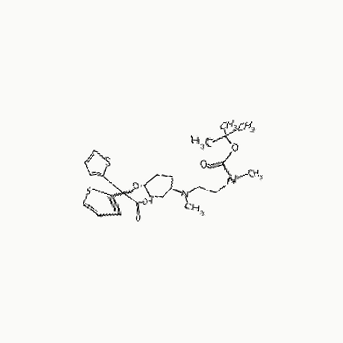 CN(CCN(C)[C@H]1CC[C@H](OC(C(=O)O)(c2cccs2)c2cccs2)CC1)C(=O)OC(C)(C)C